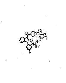 CC(C)N(C(=O)c1cc(F)ccc1-n1cc(C(=O)C2CCN(C(=O)[C@@H]3NC[C@H]4CC[C@H]43)CC2)c2ccncc21)C(C)C